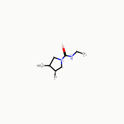 CC[C@@H]1CN(C(=O)NCC(F)(F)F)CC1C(=O)O